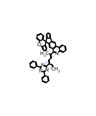 C=C/C(=C\C=C(/C)c1nc2ccccc2c2cc3c(cc12)C1(c2ccccc2Oc2ccccc21)c1ccccc1-3)c1nc(-c2ccccc2)nc(-c2ccccc2)n1